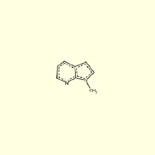 [CH2]n1ccc2cccnc21